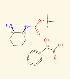 CC(C)(C)OC(=O)N[C@H]1CCCC[C@H]1N.O=C(O)[C@@H](O)c1ccccc1